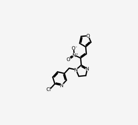 O=[N+]([O-])C(=Cc1ccoc1)C1=NCCN1Cc1ccc(Cl)nc1